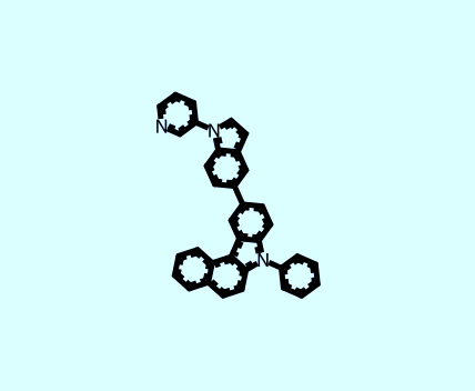 c1ccc(-n2c3ccc(-c4ccc5c(ccn5-c5cccnc5)c4)cc3c3c4ccccc4ccc32)cc1